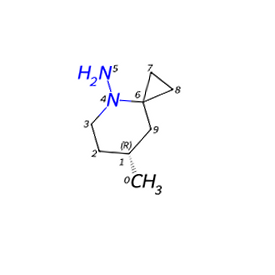 C[C@@H]1CCN(N)C2(CC2)C1